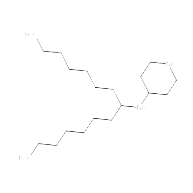 CCCCCCCC(CCCCCCC)NC1CCNCC1